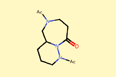 CC(=O)N1CCC(=O)N2C(CCCN2C(C)=O)C1